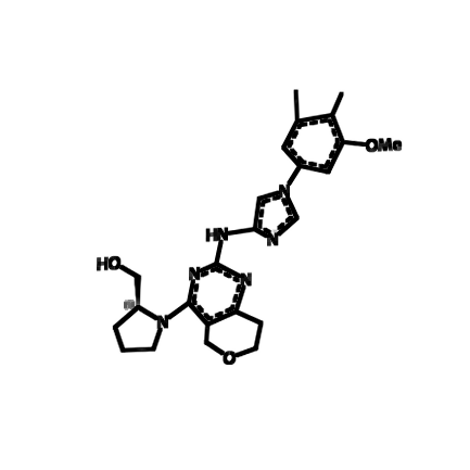 COc1cc(-n2cnc(Nc3nc4c(c(N5CCC[C@H]5CO)n3)COCC4)c2)cc(C)c1C